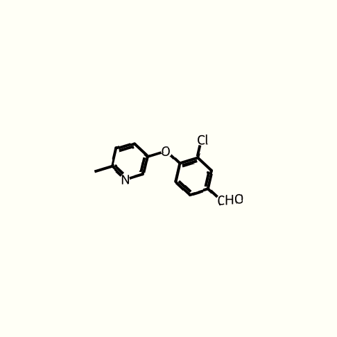 Cc1ccc(Oc2ccc(C=O)cc2Cl)cn1